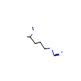 [2H]/N=C\NCCCC(N[2H])C(=O)O